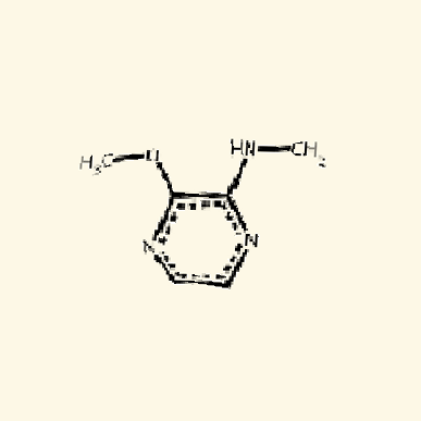 CNc1nc[c]nc1OC